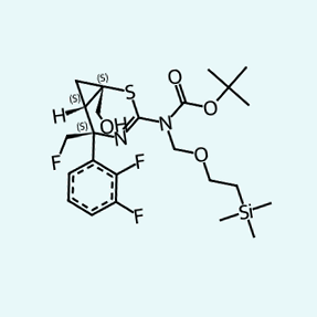 CC(C)(C)OC(=O)N(COCC[Si](C)(C)C)C1=N[C@](CF)(c2cccc(F)c2F)[C@@H]2C[C@]2(CO)S1